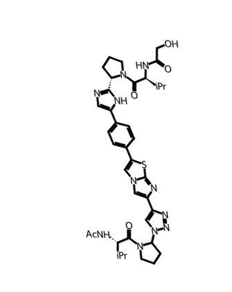 CC(=O)N[C@H](C(=O)N1CCCC1n1cc(-c2cn3cc(-c4ccc(-c5cnc([C@@H]6CCCN6C(=O)[C@@H](NC(=O)CO)C(C)C)[nH]5)cc4)sc3n2)nn1)C(C)C